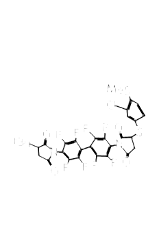 CSc1ccc(SC2CC(=O)N(c3c(F)c(F)c(-c4c(F)c(F)c(N5C(=O)CC(C(C)(C)C)C5=O)c(F)c4F)c(F)c3F)C2=O)cc1Cl